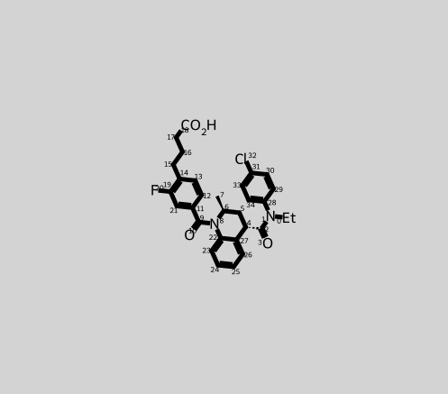 CCN(C(=O)[C@H]1C[C@H](C)N(C(=O)c2ccc(CCCC(=O)O)c(F)c2)c2ccccc21)c1ccc(Cl)cc1